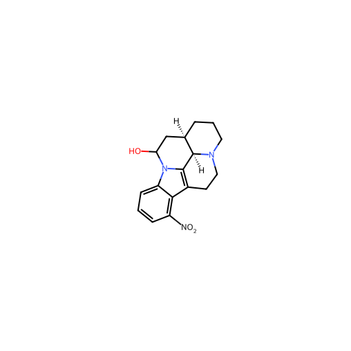 O=[N+]([O-])c1cccc2c1c1c3n2C(O)C[C@H]2CCCN(CC1)[C@@H]32